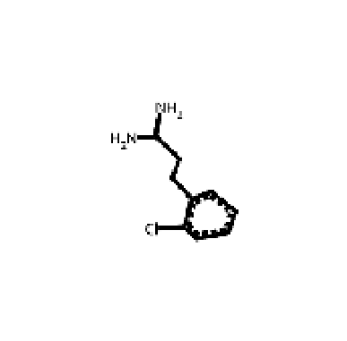 NC(N)CCc1ccccc1Cl